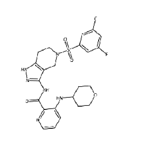 O=C(Nc1n[nH]c2c1CN(S(=O)(=O)c1cc(F)cc(F)c1)CC2)c1ncccc1NC1CCOCC1